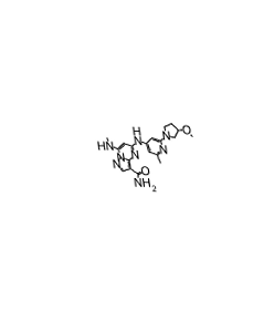 CNc1cc(Nc2cc(C)nc(N3CC[C@@H](OC)C3)c2)nc2c(C(N)=O)cnn12